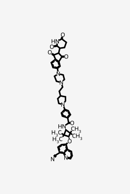 CC1(C)[C@H](NC(=O)c2ccc(N3CCC(CCN4CCN(c5ccc6c(c5)C(=O)C(C5CCC(=O)NC5=O)C6=O)CC4)CC3)cc2)C(C)(C)[C@H]1Oc1ccc(C#N)c2ncccc12